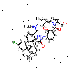 Cc1cc(F)cc(-c2ccc(CN(C)C[C@H]3Oc4c(NC(=O)Cc5ccc(C(F)(F)F)cc5)cccc4C(=O)N([C@@H](C)CO)C[C@H]3C)cc2)c1